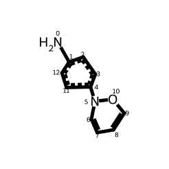 Nc1ccc(N2C=CC=CO2)cc1